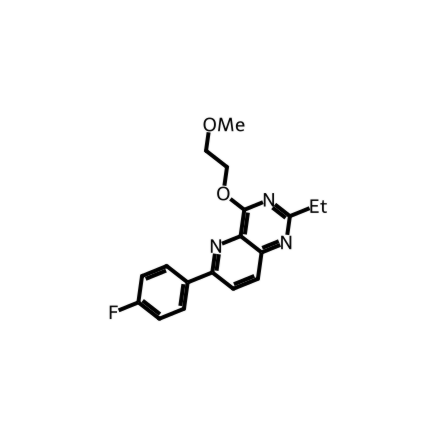 CCc1nc(OCCOC)c2nc(-c3ccc(F)cc3)ccc2n1